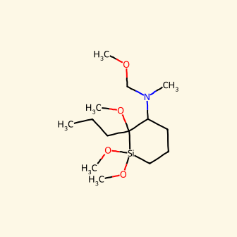 CCCC1(OC)C(N(C)COC)CCC[Si]1(OC)OC